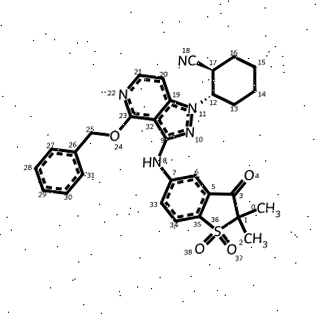 CC1(C)C(=O)c2cc(Nc3nn([C@H]4CCCC[C@@H]4C#N)c4ccnc(OCc5ccccc5)c34)ccc2S1(=O)=O